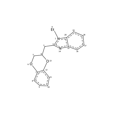 CCn1c(CC2COc3ccccc3O2)nc2ccccc21